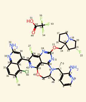 C[C@H](c1cccnc1N)N1c2nc(OC[C@@]34CCCN3C[C@H](F)C4)nc3c(F)c(-c4cc(N)nc5ccc(F)c(Cl)c45)nc(c23)OC[C@@H]1C.O=C(O)C(F)(F)F